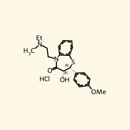 CCN(C)CCN1C(=O)[C@@H](O)[C@@H](c2ccc(OC)cc2)Sc2ccccc21.Cl